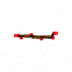 O=C(CSCSCSCC[S+]([O-])CSCSCSCSC(=O)CSCSCSCC[S+]([O-])CCO)SCCO